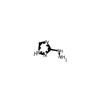 NNc1nc[nH]n1